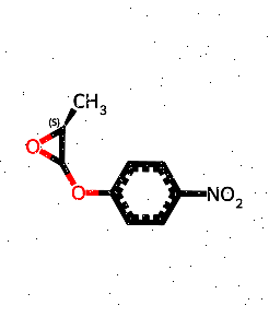 C[C@@H]1OC1Oc1ccc([N+](=O)[O-])cc1